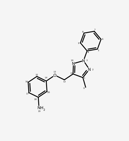 Cc1nn(-c2ccccc2)nc1COc1cccc(N)c1